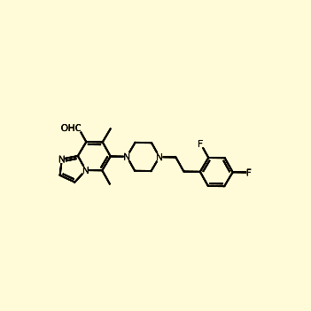 Cc1c(N2CCN(CCc3ccc(F)cc3F)CC2)c(C)n2ccnc2c1C=O